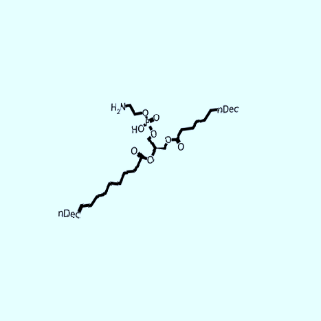 CCCCCCCCCCCCCCCCCCC(=O)O[C@H](COC(=O)CCCCCCCCCCCCCCC)COP(=O)(O)OCCN